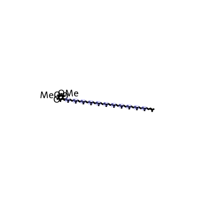 COC1=C(OC)C(=O)C(C/C=C(\C)CC/C=C(\C)CC/C=C(\C)CC/C=C(\C)CC/C=C(\C)CC/C=C(\C)CC/C=C(\C)CC/C=C(\C)CC/C=C(\C)CC/C=C(\C)CC/C=C(\C)CCC=C(C)C)=C(C)C1=O